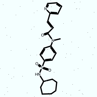 CN(C(=O)C=Cc1ccccn1)c1ccc(S(=O)(=O)NC2CCCCCC2)cc1